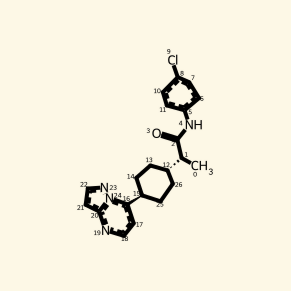 CC(C(=O)Nc1ccc(Cl)cc1)[C@H]1CC[C@H](c2ccnc3ccnn32)CC1